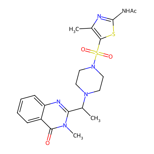 CC(=O)Nc1nc(C)c(S(=O)(=O)N2CCN(C(C)c3nc4ccccc4c(=O)n3C)CC2)s1